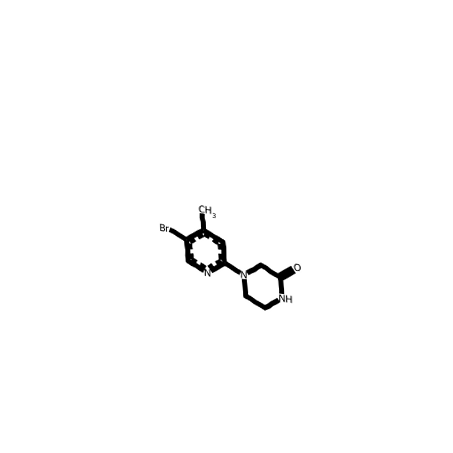 Cc1cc(N2CCNC(=O)C2)ncc1Br